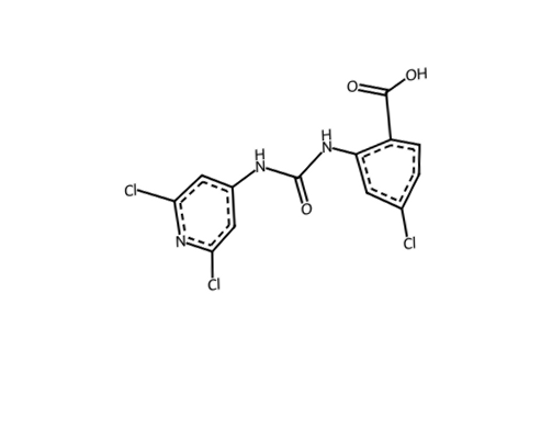 O=C(Nc1cc(Cl)nc(Cl)c1)Nc1cc(Cl)ccc1C(=O)O